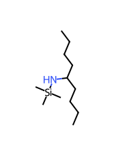 CCCCC(CCCC)N[Si](C)(C)C